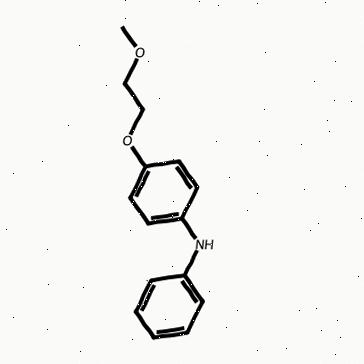 COCCOc1ccc(Nc2[c]cccc2)cc1